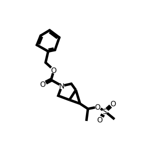 CC(OS(C)(=O)=O)C1C2CN(C(=O)OCc3ccccc3)CC21